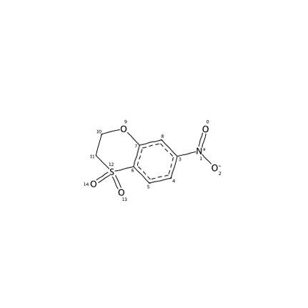 O=[N+]([O-])c1ccc2c(c1)OCCS2(=O)=O